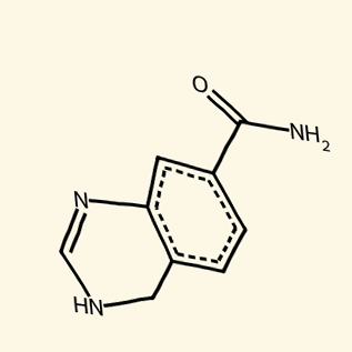 NC(=O)c1ccc2c(c1)N=CNC2